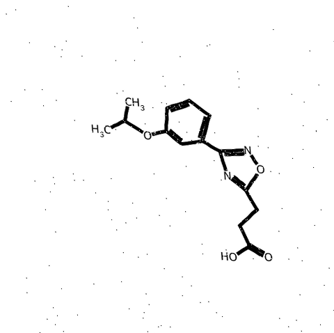 CC(C)Oc1cccc(-c2noc(CCC(=O)O)n2)c1